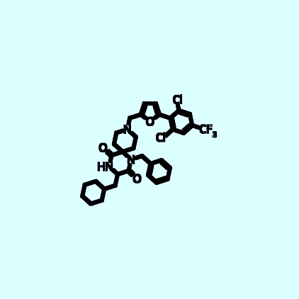 O=C1C(CC2CCCCC2)NC(=O)C2(CCN(Cc3ccc(-c4c(Cl)cc(C(F)(F)F)cc4Cl)o3)CC2)N1Cc1ccccc1